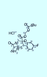 CC1S[C@@H]2C(N)C(=O)N2CC1(Oc1cccc(F)c1)C(=O)OCOC(=O)C(C)(C)C.Cl